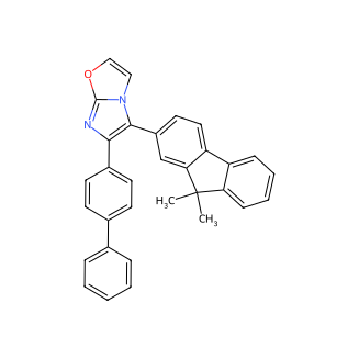 CC1(C)c2ccccc2-c2ccc(-c3c(-c4ccc(-c5ccccc5)cc4)nc4occn34)cc21